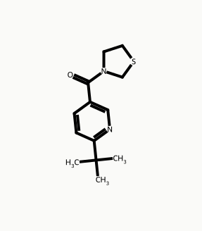 CC(C)(C)c1ccc(C(=O)N2CCSC2)cn1